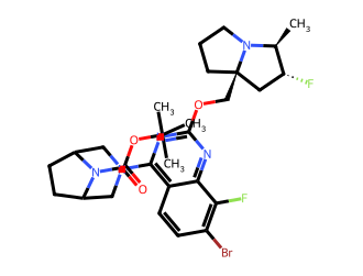 C[C@H]1[C@H](F)C[C@]2(COc3nc(N4CC5CCC(C4)N5C(=O)OC(C)(C)C)c4ccc(Br)c(F)c4n3)CCCN12